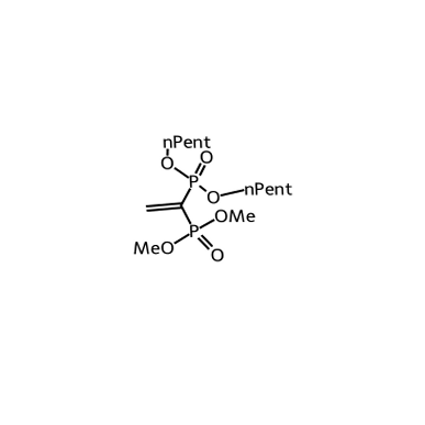 C=C(P(=O)(OC)OC)P(=O)(OCCCCC)OCCCCC